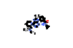 Cc1ccc(C(=O)NC2CC2)cc1-n1cnc2c(N3CCCCC3CN(C)C)ncnc21